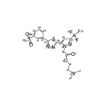 CN(C)CCOC(=O)Cn1nc(C(F)(F)F)cc1-c1nnc(-c2cccc(S(C)(=O)=O)c2)s1